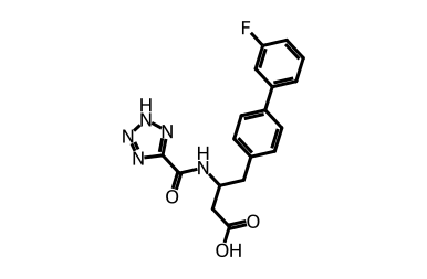 O=C(O)CC(Cc1ccc(-c2cccc(F)c2)cc1)NC(=O)c1nn[nH]n1